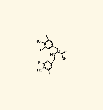 O=C(O)[C@H](Cc1cc(F)c(O)c(F)c1)NCc1cc(F)c(O)c(F)c1